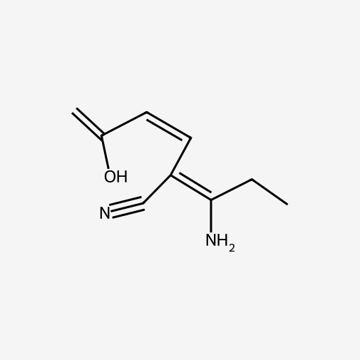 C=C(O)/C=C\C(C#N)=C(\N)CC